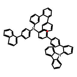 c1ccc(-c2ccccc2-c2cccc(N(c3ccc(-c4ccc(-c5ccccc5-n5c6ccccc6c6ccccc65)cc4)cc3)c3ccc(-c4cccc5ccccc45)cc3)c2)cc1